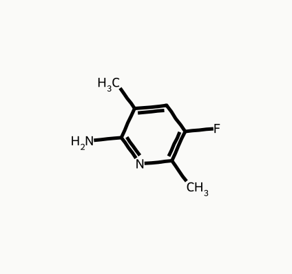 Cc1cc(F)c(C)nc1N